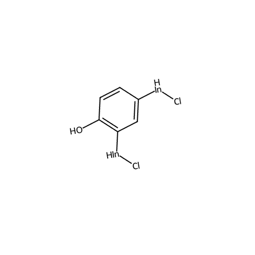 Oc1cc[c]([InH][Cl])c[c]1[InH][Cl]